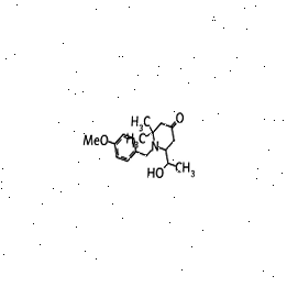 COc1ccc(CN2C(C(C)O)CC(=O)CC2(C)C)cc1